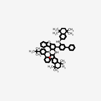 CC(C)(C)c1ccc(N2c3oc4cc5c(cc4c3Bc3c(-c4ccc(-c6ccccc6)cc4Nc4ccc6c(c4)C(C)(C)CCC6(C)C)cc4oc6ccccc6c4c32)C(C)(C)CCC5(C)C)c(-c2ccccc2)c1